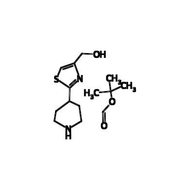 CC(C)(C)OC=O.OCc1csc(C2CCNCC2)n1